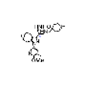 COc1ncc(-n2nc(/C(C=N)=C/NCC3(O)CCN(C)CC3)c3c2CCOCC3)cc1C